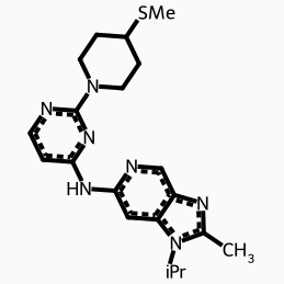 CSC1CCN(c2nccc(Nc3cc4c(cn3)nc(C)n4C(C)C)n2)CC1